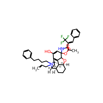 C=CC[N+]1(CCCCc2ccccc2)CC[C@@]23C4=C5C[C@@H]1[C@@H]2CCC[C@@H]3OC4C(NC(=O)C(=Cc1ccccc1)C(F)(F)F)(OC(C)=O)C=C5O